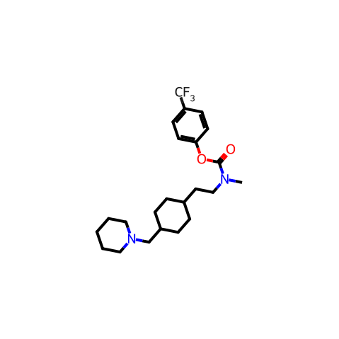 CN(CCC1CCC(CN2CCCCC2)CC1)C(=O)Oc1ccc(C(F)(F)F)cc1